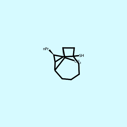 CCC[C@@H]1C2C3CCCCC4(S)CC(C3C)[C@]214